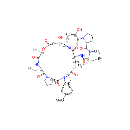 CC[C@H](C)[C@H]1NC(=O)[C@@H](NC(=O)[C@@H](CC(C)C)N(C)C(=O)C2CCCN2C(=O)[C@@H](C)O)[C@@H](C)OC(=O)[C@H](Cc2ccc(OC)cc2)N(C)C(=O)[C@@H]2CCCN2C(=O)[C@H](CC(C)C)NC(=O)[C@H](C(C)C)OC(=O)C[C@@H]1O